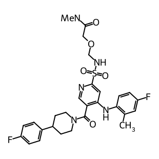 CNC(=O)COCNS(=O)(=O)c1cc(Nc2ccc(F)cc2C)c(C(=O)N2CCC(c3ccc(F)cc3)CC2)cn1